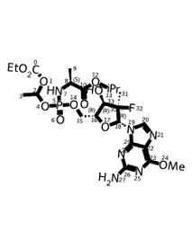 CCOC(=O)OC(C)OP(=O)(N[C@@H](C)C(=O)OC(C)C)OC[C@H]1O[C@@H](n2cnc3c(OC)nc(N)nc32)[C@](C)(F)[C@@H]1O